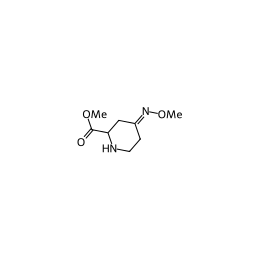 CO/N=C1\CCNC(C(=O)OC)C1